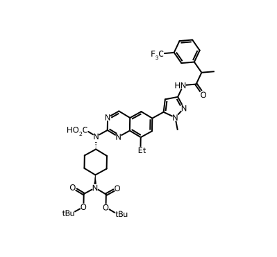 CCc1cc(-c2cc(NC(=O)C(C)c3cccc(C(F)(F)F)c3)nn2C)cc2cnc(N(C(=O)O)[C@H]3CC[C@H](N(C(=O)OC(C)(C)C)C(=O)OC(C)(C)C)CC3)nc12